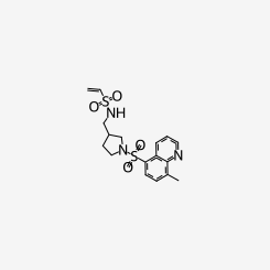 C=CS(=O)(=O)NCC1CCN(S(=O)(=O)c2ccc(C)c3ncccc23)C1